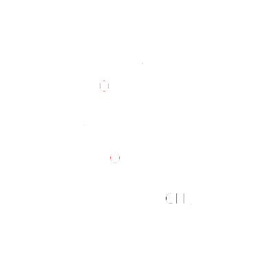 C[C@H]1CCCOCO1